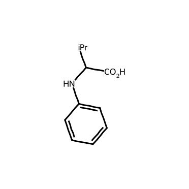 CC(C)C(Nc1ccccc1)C(=O)O